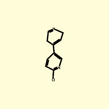 Clc1ccc(C2=CCN=CC2)cn1